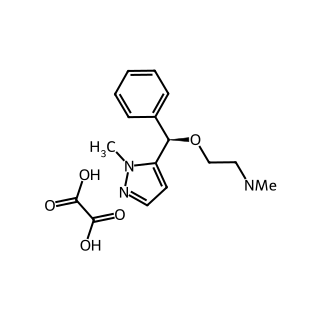 CNCCO[C@H](c1ccccc1)c1ccnn1C.O=C(O)C(=O)O